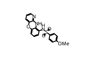 COc1ccc(S(=O)(=O)Nc2cccc3c2Nc2ncccc2O3)cc1